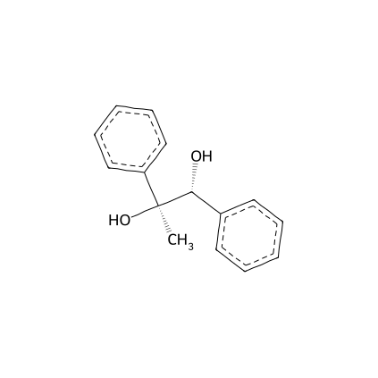 C[C@](O)(c1ccccc1)[C@H](O)c1ccccc1